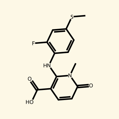 CSc1ccc(Nc2c(C(=O)O)ccc(=O)n2C)c(F)c1